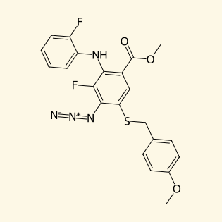 COC(=O)c1cc(SCc2ccc(OC)cc2)c(N=[N+]=[N-])c(F)c1Nc1ccccc1F